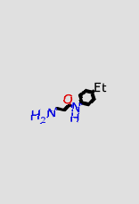 CCC1CCC(NC(=O)CCN)CC1